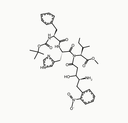 CCC(C)[C@@H](C(=O)OC)N(C(=O)CC(O)[C@@H](N)Cc1ccccc1[N+](=O)[O-])C(=O)[C@H](Cc1c[nH]cn1)NC(=O)[C@H](Cc1ccccc1)NC(=O)OC(C)(C)C